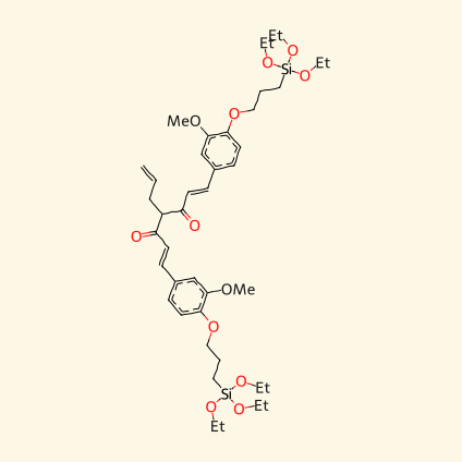 C=CCC(C(=O)C=Cc1ccc(OCCC[Si](OCC)(OCC)OCC)c(OC)c1)C(=O)C=Cc1ccc(OCCC[Si](OCC)(OCC)OCC)c(OC)c1